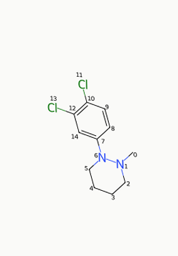 CN1CCCCN1c1ccc(Cl)c(Cl)c1